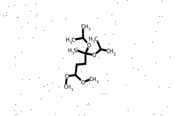 COC(CCC([SiH3])(OC(C)C)OC(C)C)OC